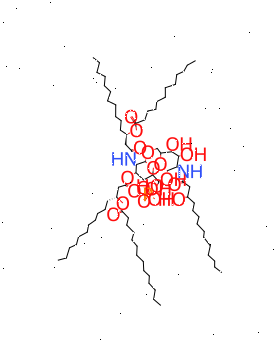 CCCCCCCCCCCCCC(=O)O[C@H](CCCCCCCCCCC)CC(=O)OC1C(NC(=O)C[C@@H](CCCCCCCCCCC)OC(=O)CCCCCCCCCCC)C(OCC2OC(O)C(NC(=O)C[C@H](O)CCCCCCCCCCC)C(O)C2O)OC(CO)C1OP(=O)(O)O